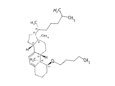 CCCCCO[C@H]1CCCC2=CC=C3[C@@H]4CC[C@H]([C@H](C)CCCC(C)C)[C@@]4(C)CC[C@@H]3[C@]21C